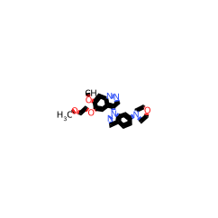 COCCOc1cc2c(-n3ncc4ccc(N5CCOCC5)cc43)cnnc2cc1OC